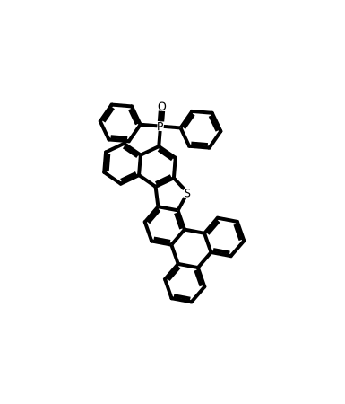 O=P(c1ccccc1)(c1ccccc1)c1cc2sc3c(ccc4c5ccccc5c5ccccc5c43)c2c2ccccc12